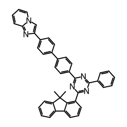 CC1(C)c2ccccc2-c2cccc(-c3nc(-c4ccccc4)nc(-c4ccc(-c5ccc(-c6cn7ccccc7n6)cc5)cc4)n3)c21